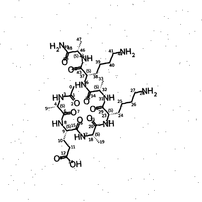 CC(=O)N[C@@H](C)C(=O)N[C@@H](CCC(=O)O)C(=O)N[C@@H](C)C(=O)N[C@@H](CCCCN)C(=O)N[C@@H](C)C(=O)N[C@@H](CCCCN)C(=O)N[C@@H](C)C(N)=O